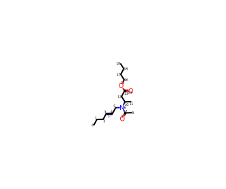 CCC/C=C/CN(C(C)=O)C(C)CC(=O)OCCCC